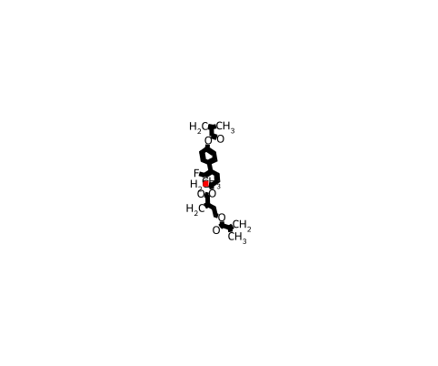 C=C(/C=C\C(=C(/C)F)c1ccc(OC(=O)C(=C)C)cc1)OC(=O)C(=C)CCOC(=O)C(=C)C